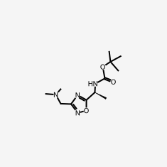 C[C@H](NC(=O)OC(C)(C)C)c1nc(CN(C)C)no1